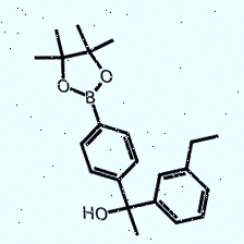 CCc1cccc(C(C)(O)c2ccc(B3OC(C)(C)C(C)(C)O3)cc2)c1